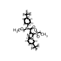 CCS(=O)(=O)c1c(C(=O)N(COC)c2ccc(C(F)(F)F)cc2)nc2ccc(C(F)(F)F)cn12